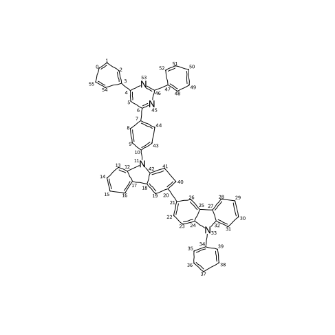 c1ccc(-c2cc(-c3ccc(-n4c5ccccc5c5cc(-c6ccc7c(c6)c6ccccc6n7-c6ccccc6)ccc54)cc3)nc(-c3ccccc3)n2)cc1